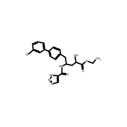 CCOC(=O)C(O)CC(Cc1ccc(-c2cccc(Cl)c2)cc1)NC(=O)c1cnn[nH]1